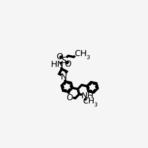 CCCS(=O)(=O)NC1CN(c2ccc3c(c2)C(Cc2ccccc2)C(NC)CO3)C1